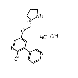 Cl.Cl.Clc1ncc(OC[C@@H]2CCCN2)cc1-c1cccnc1